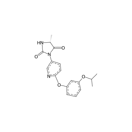 CC(C)Oc1cccc(Oc2ccc(N3C(=O)N[C@H](C)C3=O)cn2)c1